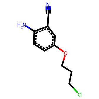 N#Cc1cc(OCCCCl)ccc1N